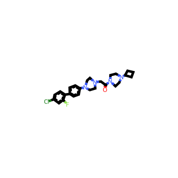 O=C(CN1CCN(c2ccc(-c3ccc(Cl)cc3F)cc2)CC1)N1CCN(C2CCC2)CC1